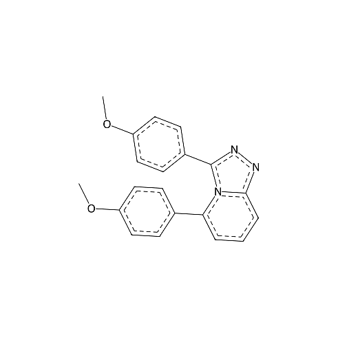 COc1ccc(-c2cccc3nnc(-c4ccc(OC)cc4)n23)cc1